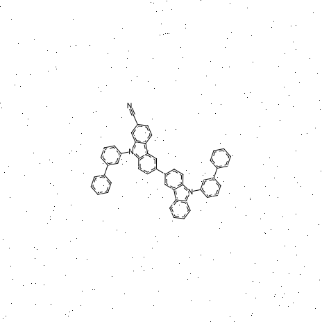 N#Cc1ccc2c3cc(-c4ccc5c(c4)c4ccccc4n5-c4cccc(-c5ccccc5)c4)ccc3n(-c3cccc(-c4ccccc4)c3)c2c1